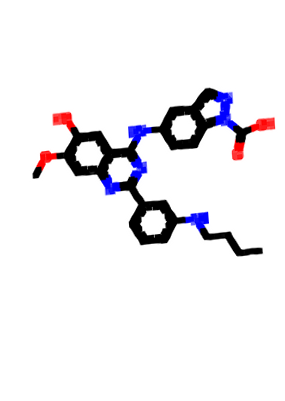 CCCCNc1cccc(-c2nc(Nc3ccc4c(cnn4C(=O)O)c3)c3cc(O)c(OC)cc3n2)c1